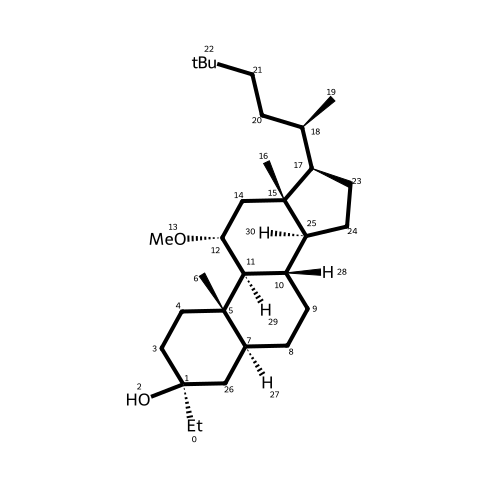 CC[C@]1(O)CC[C@@]2(C)[C@@H](CC[C@@H]3[C@@H]2[C@H](OC)C[C@]2(C)[C@@H]([C@H](C)CCC(C)(C)C)CC[C@@H]32)C1